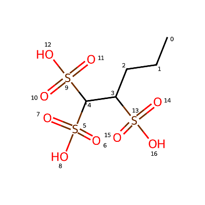 CCCC([C](S(=O)(=O)O)S(=O)(=O)O)S(=O)(=O)O